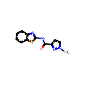 Cn1ccc(C(=O)Nc2nc3ccccc3s2)n1